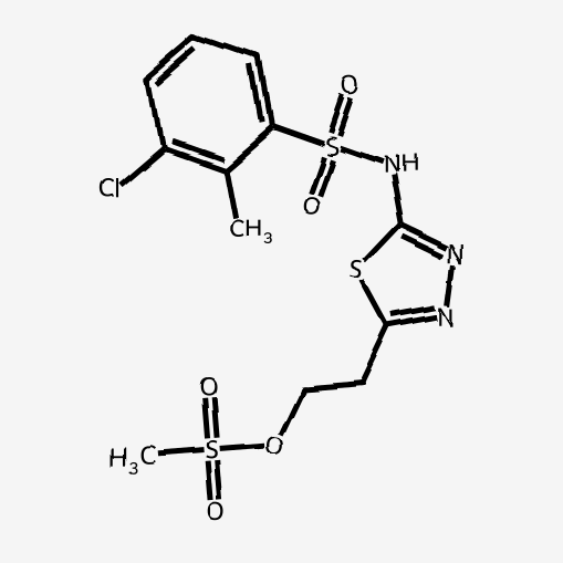 Cc1c(Cl)cccc1S(=O)(=O)Nc1nnc(CCOS(C)(=O)=O)s1